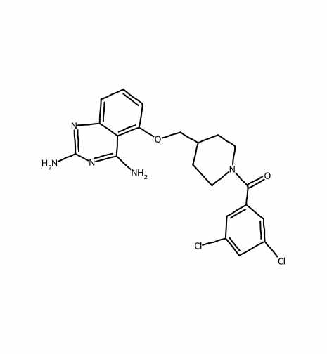 Nc1nc(N)c2c(OCC3CCN(C(=O)c4cc(Cl)cc(Cl)c4)CC3)cccc2n1